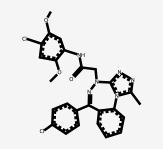 COc1cc(NC(=O)CN2N=C(c3ccc(Cl)cc3)c3ccccc3-n3c(C)nnc32)c(OC)cc1Cl